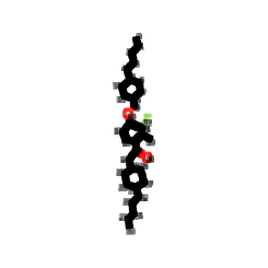 CCCCCC1CCC(COc2ccc(C(=O)CC3CCC(CCCCC)CC3)c(C)c2F)CC1